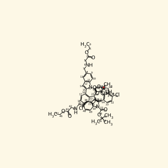 CCOC(=O)CNCc1ccc2c(c1)cc(-c1ccc(Cl)c3c1C(C(=O)C1NCc4c(Cl)ccc(-c5cc6cc(CNCC(=O)OCC)ccc6n5C(=O)OC(C)(C)C)c41)NC3)n2C(=O)OC(C)(C)C